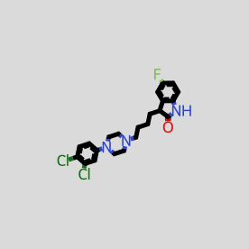 O=C1Nc2ccc(F)cc2C1CCCCN1CCN(c2ccc(Cl)c(Cl)c2)CC1